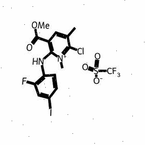 COC(=O)c1cc(C)c(Cl)[n+](C)c1Nc1ccc(I)cc1F.O=S(=O)([O-])C(F)(F)F